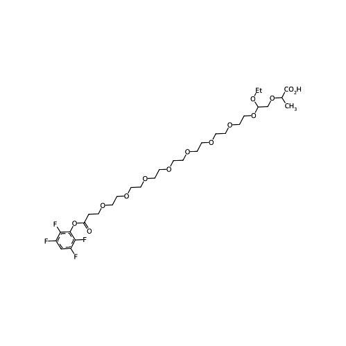 CCOC(COC(C)C(=O)O)OCCOCCOCCOCCOCCOCCOCCOCCC(=O)Oc1c(F)c(F)cc(F)c1F